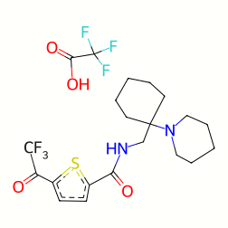 O=C(NCC1(N2CCCCC2)CCCCC1)c1ccc(C(=O)C(F)(F)F)s1.O=C(O)C(F)(F)F